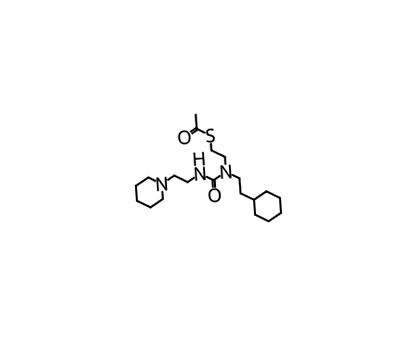 CC(=O)SCCN(CCC1CCCCC1)C(=O)NCCN1CCCCC1